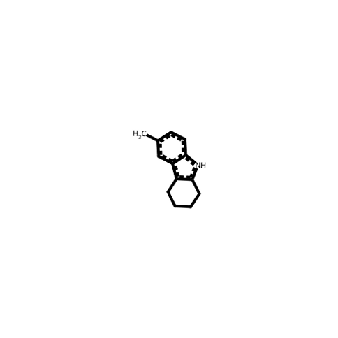 Cc1ccc2[nH]c3c(c2c1)CCCC3